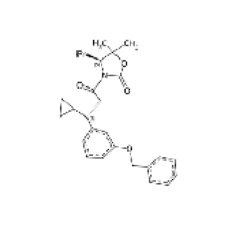 CC(C)[C@@H]1N(C(=O)C[C@H](c2cccc(OCc3ccccc3)c2)C2CC2)C(=O)OC1(C)C